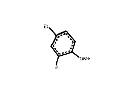 CCc1[c]cc(OC)c(CC)c1